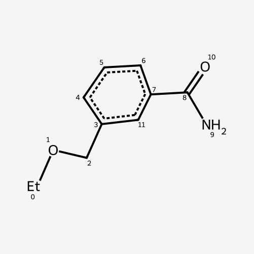 CCOCc1cccc(C(N)=O)c1